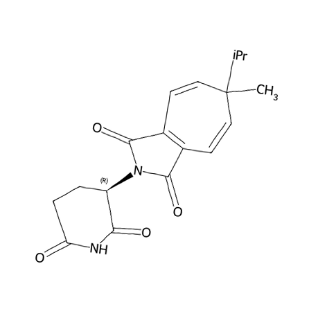 CC(C)C1(C)C=CC2=C(C=C1)C(=O)N([C@@H]1CCC(=O)NC1=O)C2=O